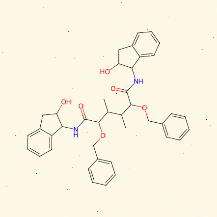 CC(C(OCc1ccccc1)C(=O)NC1c2ccccc2CC1O)C(C)C(OCc1ccccc1)C(=O)NC1c2ccccc2CC1O